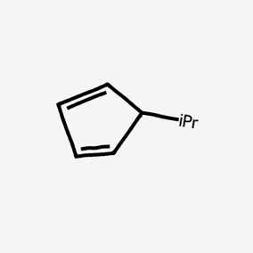 CC(C)[C]1C=CC=C1